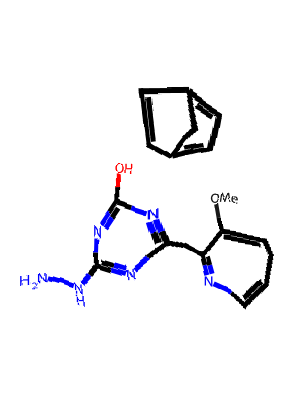 C1=CC2=CC=C1C2.COc1cccnc1-c1nc(O)nc(NN)n1